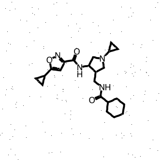 O=C(NC1CN(C2CC2)CC1CNC(=O)C1CCCCC1)c1cc(C2CC2)on1